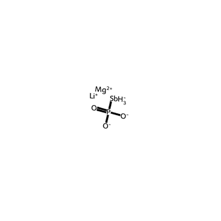 O=[P]([O-])([O-])[SbH3-].[Li+].[Mg+2]